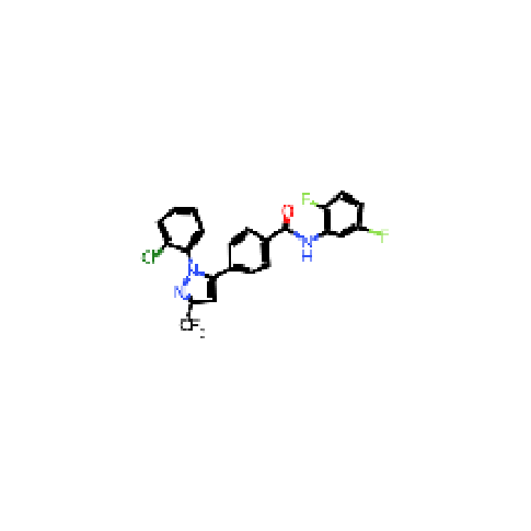 O=C(Nc1cc(F)ccc1F)c1ccc(-c2cc(C(F)(F)F)nn2-c2ccccc2Cl)cc1